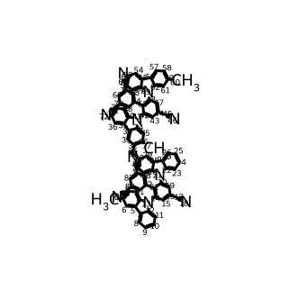 Cc1ccc2c(c1)c1ccccc1n2-c1cc(C#N)cc(-n2c3ccccc3c3cc(Cc4cc5c6ccccc6n(-c6cc(C#N)cc(-n7c8ccccc8c8ccc(C)cc87)c6-c6cc(C#N)cc(C#N)c6)c5cc4C)ccc32)c1-c1cc(C#N)cc(C#N)c1